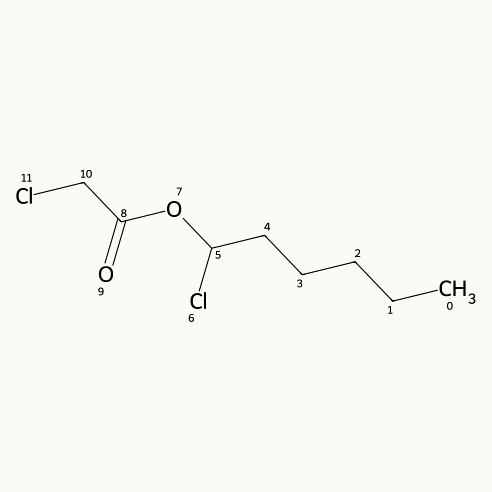 CCCCCC(Cl)OC(=O)CCl